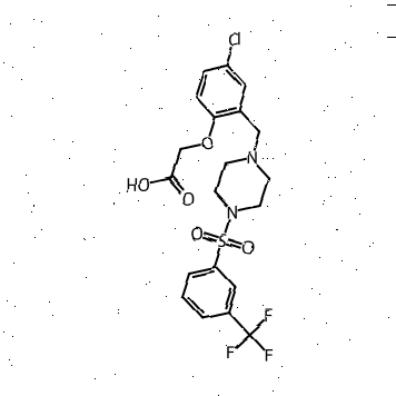 O=C(O)COc1ccc(Cl)cc1CN1CCN(S(=O)(=O)c2cccc(C(F)(F)F)c2)CC1